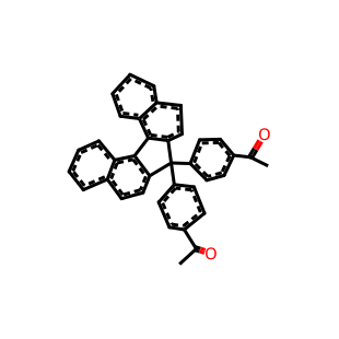 CC(=O)c1ccc(C2(c3ccc(C(C)=O)cc3)c3ccc4ccccc4c3-c3c2ccc2ccccc32)cc1